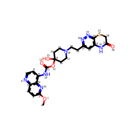 COc1ccc2nccc(NC(=O)OC3(O)CCN(CCc4cc5c(nn4)SCC(=O)N5)CC3)c2n1